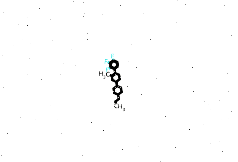 CCCC1CCC(C2CCC(c3ccc(F)c(F)c3F)=C(C)C2)CC1